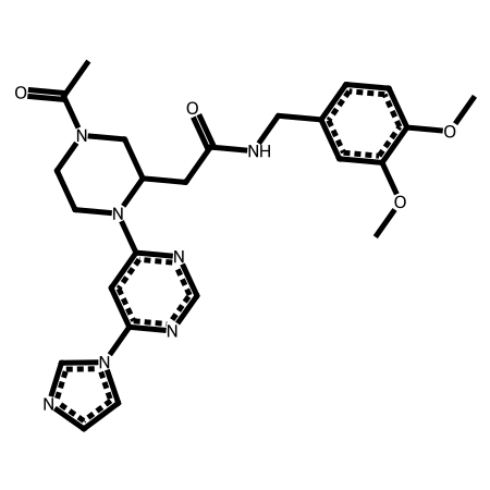 COc1ccc(CNC(=O)CC2CN(C(C)=O)CCN2c2cc(-n3ccnc3)ncn2)cc1OC